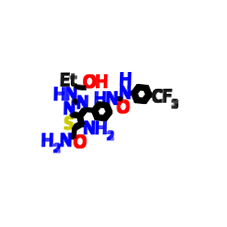 CC[C@H](CO)Nc1nc(-c2cccc(NC(=O)Nc3ccc(C(F)(F)F)cc3)c2)c2c(N)c(C(N)=O)sc2n1